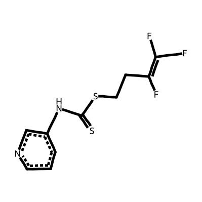 FC(F)=C(F)CCSC(=S)Nc1cccnc1